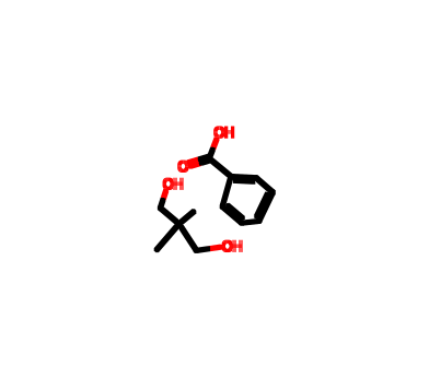 CC(C)(CO)CO.O=C(O)c1ccccc1